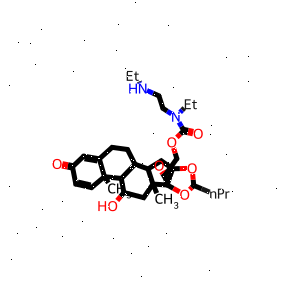 CCCC1OC2CC3C4CCC5=CC(=O)C=CC5(C)C4C(O)CC3(C)C2(C(=O)COC(=O)N(CC)CCNCC)O1